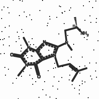 CC(C)=CCn1c(N(C)C[C@H](C)N)nc2c1c(=O)n(C)c(=O)n2C